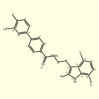 Cc1ccc(-c2ccc(C(=O)NCCc3c(C)[nH]c4c(F)ccc(C)c34)cc2)cc1F